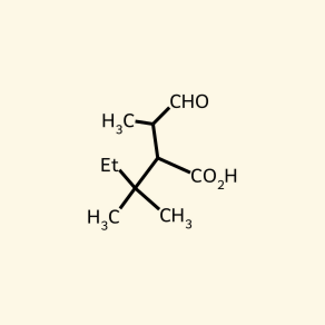 CCC(C)(C)C(C(=O)O)C(C)C=O